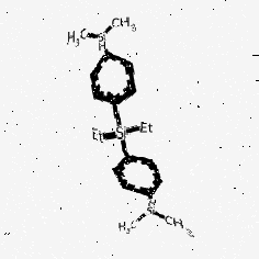 CC[Si](CC)(c1ccc([SiH](C)C)cc1)c1ccc([SiH](C)C)cc1